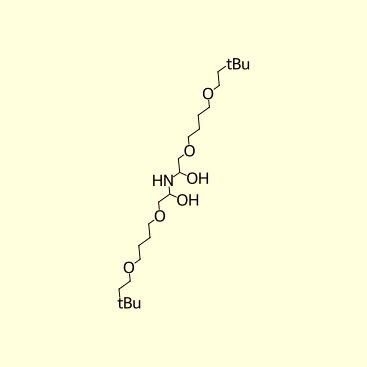 CC(C)(C)CCOCCCCOCC(O)NC(O)COCCCCOCCC(C)(C)C